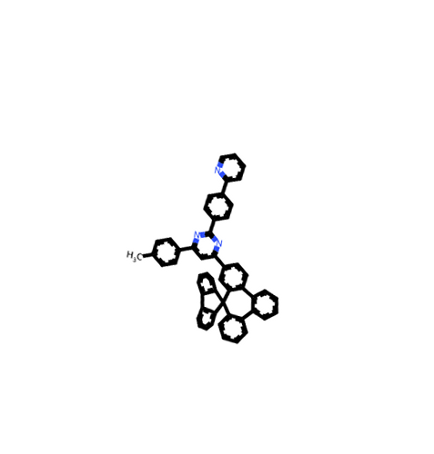 Cc1ccc(-c2cc(-c3ccc4c(c3)C3(c5ccccc5-c5ccccc5-4)c4ccccc4-c4ccccc43)nc(-c3ccc(-c4ccccn4)cc3)n2)cc1